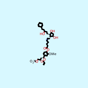 C=CC(=O)O[C@H](CCCO[N+](=O)[O-])c1ccc(OC(=O)CCC/C=C\C[C@@H]2[C@@H](CCC(O)CCc3ccccc3)[C@H](O)C[C@@H]2O)c(OC)c1